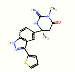 CN1C(=N)N[C@](C)(c2ccc3[nH]nc(-c4cccs4)c3c2)CC1=O